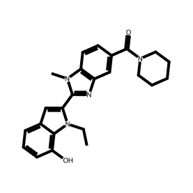 CCn1c(-c2nc3cc(C(=O)N4CCCCC4)ccc3n2C)cc2cccc(O)c21